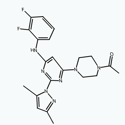 CC(=O)N1CCN(c2cc(Nc3cccc(F)c3F)nc(-n3nc(C)cc3C)n2)CC1